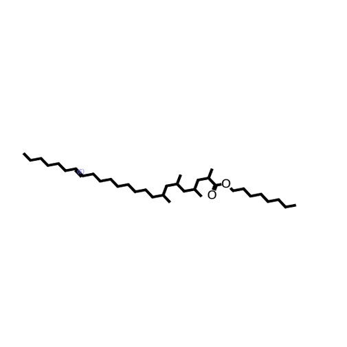 CCCCCC/C=C/CCCCCCCCC(C)CC(C)CC(C)CC(C)C(=O)OCCCCCCCC